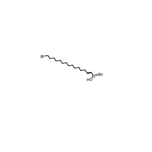 CCCC[C@@H](O)C=CCCCCCCCCCCCCCBr